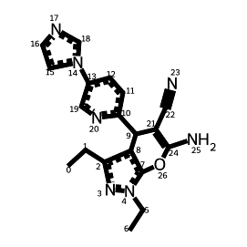 CCc1nn(CC)c2c1C(c1ccc(-n3ccnc3)cn1)C(C#N)=C(N)O2